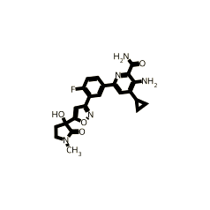 CN1CCC(O)(c2cc(-c3cc(-c4cc(C5CC5)c(N)c(C(N)=O)n4)ccc3F)no2)C1=O